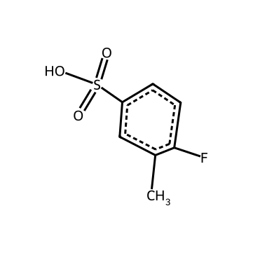 Cc1cc(S(=O)(=O)O)ccc1F